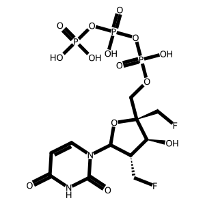 O=c1ccn(C2O[C@](CF)(COP(=O)(O)OP(=O)(O)OP(=O)(O)O)[C@@H](O)[C@@H]2CF)c(=O)[nH]1